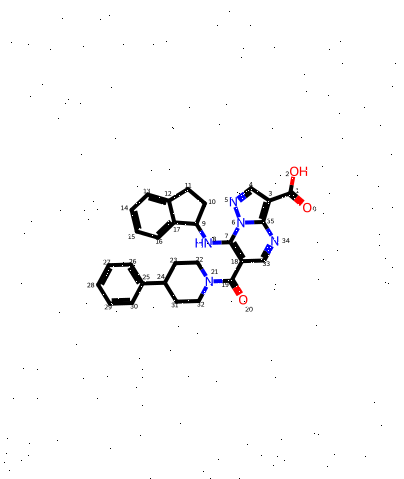 O=C(O)c1cnn2c(NC3CCc4ccccc43)c(C(=O)N3CCC(c4ccccc4)CC3)cnc12